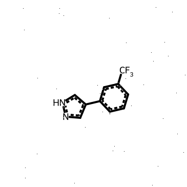 FC(F)(F)c1cc[c]c(-c2cn[nH]c2)c1